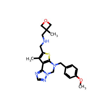 COc1ccc(CN2Cn3ncnc3-c3c2sc(CNCC2(C)COC2)c3C)cc1